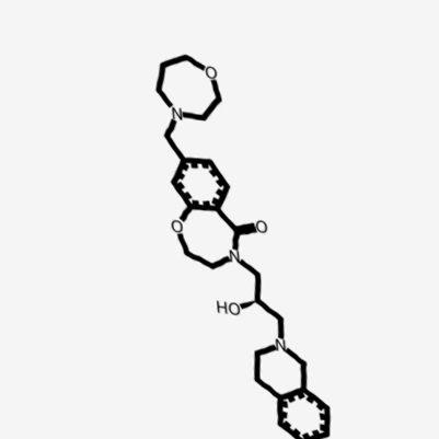 O=C1c2ccc(CN3CCCOCC3)cc2OCCN1C[C@H](O)CN1CCc2ccccc2C1